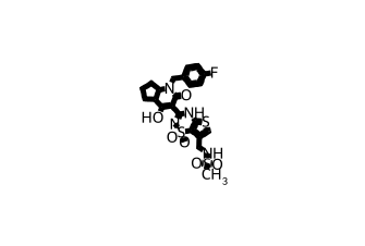 CS(=O)(=O)NCc1csc2c1S(=O)(=O)N=C(C1=C(O)C3CCCC3N(Cc3ccc(F)cc3)C1=O)N2